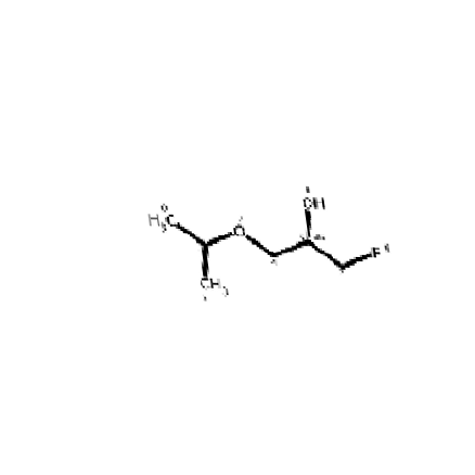 CC(C)OC[C@@H](O)CF